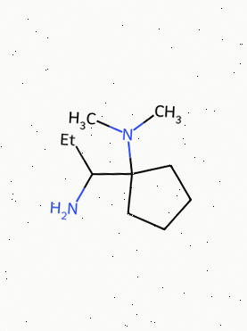 CCC(N)C1(N(C)C)CCCC1